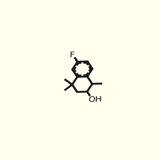 CC1c2ccc(F)cc2C(C)(C)CC1O